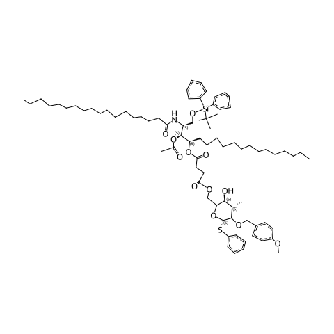 CCCCCCCCCCCCCCCCCC(=O)N[C@@H](CO[Si](c1ccccc1)(c1ccccc1)C(C)(C)C)[C@H](OC(C)=O)[C@@H](CCCCCCCCCCCCCC)OC(=O)CCC(=O)OCC1O[C@@H](Sc2ccccc2)C(OCc2ccc(OC)cc2)[C@@H](C)[C@@H]1O